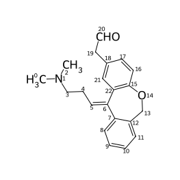 CN(C)CC/C=C1/c2ccccc2COc2ccc(CC=O)cc21